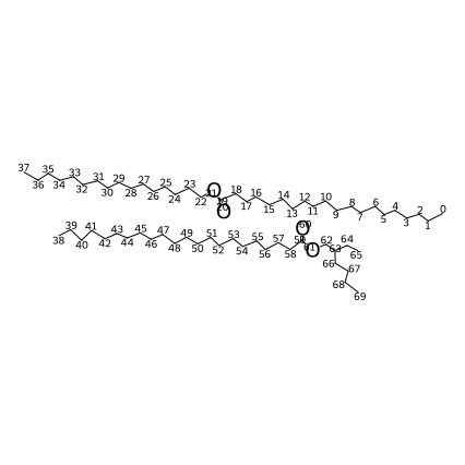 CCCCCCCCCCCCCCCCCCCC(=O)OCCCCCCCCCCCCCCCC.CCCCCCCCCCCCCCCCCCCCCC(=O)OCC(CC)CCCC